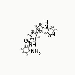 Nc1ccccc1NC(=O)c1ccc(N2CCC(Nc3ccncc3)C2)cc1